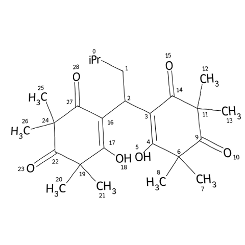 CC(C)CC(C1=C(O)C(C)(C)C(=O)C(C)(C)C1=O)C1=C(O)C(C)(C)C(=O)C(C)(C)C1=O